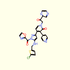 O=C(Cn1ccc(-c2cc(NCc3ccc(Cl)s3)n(C(=O)c3ncco3)n2)c(-c2ccncc2)c1=O)c1cnccn1